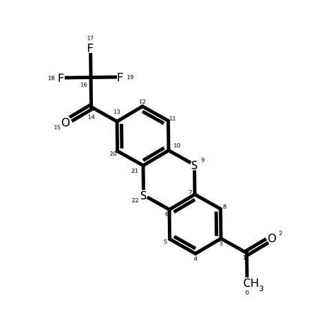 CC(=O)c1ccc2c(c1)Sc1ccc(C(=O)C(F)(F)F)cc1S2